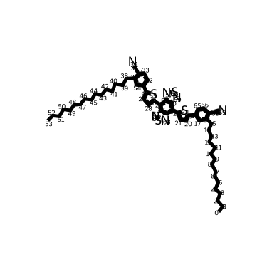 CCCCCCCCCCCCCCCCc1cc(-c2ccc(-c3c4c(c(-c5ccc(-c6ccc(C#N)c(CCCCCCCCCCCCCCCC)c6)s5)c5nsnc35)N=S=N4)s2)ccc1C#N